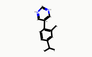 Cc1cc(C(C)C)ccc1-c1cncnc1